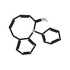 C=C1/C=C\C=C/Cc2ccccc2N1c1ccccc1